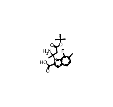 Cc1ccc2cc(C(=O)O)n(C(C)(N)CC(=O)OC(C)(C)C)c2c1F